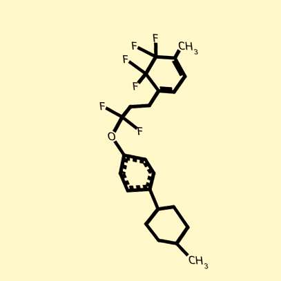 CC1=CC=C(CCC(F)(F)Oc2ccc(C3CCC(C)CC3)cc2)C(F)(F)C1(F)F